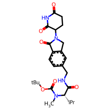 CC(C)[C@@H](C(=O)NCc1ccc2c(c1)CN(C1CCC(=O)NC1=O)C2=O)N(C)C(=O)OC(C)(C)C